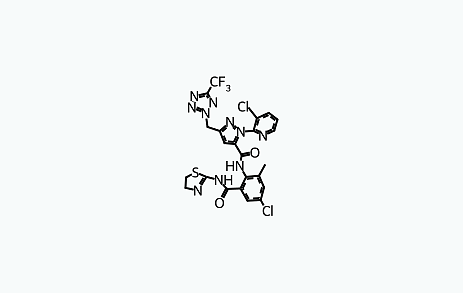 Cc1cc(Cl)cc(C(=O)NC2=NCCS2)c1NC(=O)c1cc(Cn2nnc(C(F)(F)F)n2)nn1-c1ncccc1Cl